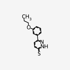 CCCOc1cccc(-c2ccc(=S)[nH]n2)c1